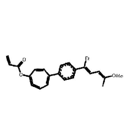 C=CC(=O)OC1=C=CC=C(c2ccc(/C(=C/C=C(\C)OC)CC)cc2)C=C1